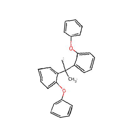 [C]C([CH2])(c1ccccc1Oc1ccccc1)c1ccccc1Oc1ccccc1